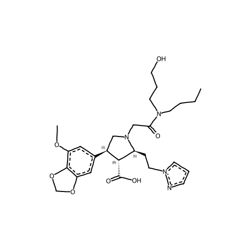 CCCCN(CCCO)C(=O)CN1C[C@H](c2cc(OC)c3c(c2)OCO3)[C@@H](C(=O)O)[C@@H]1CCn1cccn1